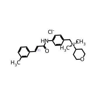 Cc1cccc(/C=C/C(=O)Nc2ccc(C[N+](C)(C)C3CCOCC3)cc2)c1.[Cl-]